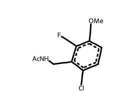 COc1ccc(Cl)c(CNC(C)=O)c1F